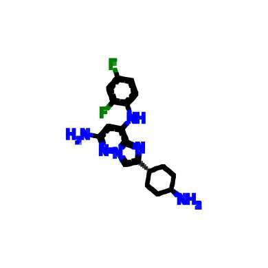 Nc1cc(Nc2ccc(F)cc2F)c2nc([C@H]3CC[C@H](N)CC3)cn2n1